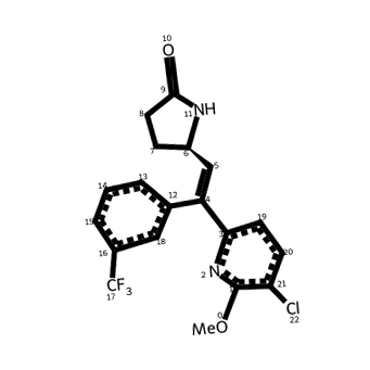 COc1nc(/C(=C/[C@H]2CCC(=O)N2)c2cccc(C(F)(F)F)c2)ccc1Cl